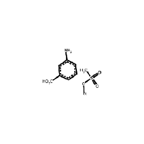 CCOS(C)(=O)=O.Nc1cccc(C(=O)O)c1